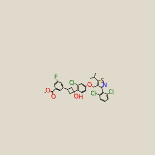 COC(=O)c1cc(F)cc(C2CC(O)(c3ccc(OCc4c(-c5c(Cl)cccc5Cl)nsc4C(C)C)cc3Cl)C2)c1